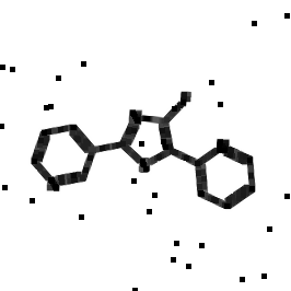 Fc1nc(-c2cccnc2)sc1-c1ccccn1